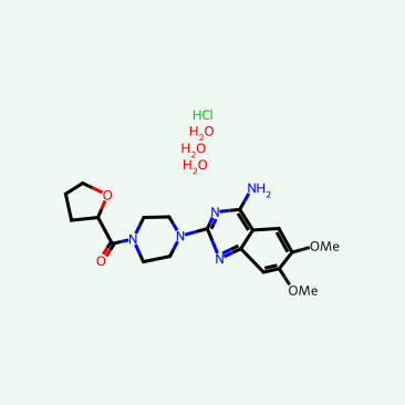 COc1cc2nc(N3CCN(C(=O)C4CCCO4)CC3)nc(N)c2cc1OC.Cl.O.O.O